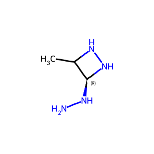 CC1NN[C@H]1NN